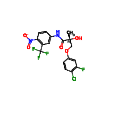 C[C@@](O)(COc1ccc(Cl)c(F)c1)C(=O)Nc1ccc([N+](=O)[O-])c(C(F)(F)F)c1